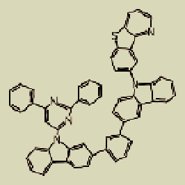 c1ccc(-c2cc(-n3c4ccccc4c4ccc(-c5cccc(-c6ccc7c(c6)c6ccccc6n7-c6ccc7sc8cccnc8c7c6)c5)cc43)nc(-c3ccccc3)n2)cc1